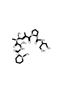 C/C(=C\[C@H](C(C)C)N(C)C(=O)[C@@H](NC(=O)[C@H]1CCCCN1C(C)C)C(C)(C)C)C(=O)N1CCC[C@H]1C(=O)NC(CO)CC(C)C